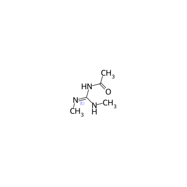 C/N=C(\NC)NC(C)=O